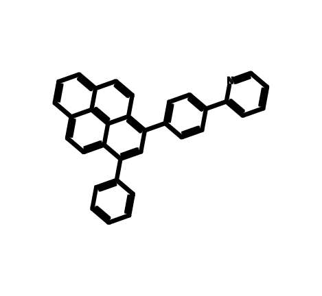 c1ccc(-c2cc(-c3ccc(-c4ccccn4)cc3)c3ccc4cccc5ccc2c3c54)cc1